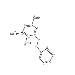 COc1cc(CCc2ccccc2)c(C=O)c(OC)c1